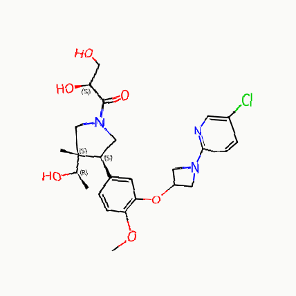 COc1ccc([C@@H]2CN(C(=O)[C@@H](O)CO)C[C@@]2(C)[C@@H](C)O)cc1OC1CN(c2ccc(Cl)cn2)C1